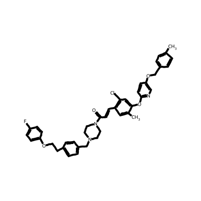 Cc1ccc(COc2ccc(Oc3cc(Cl)c(/C=C/C(=O)N4CCN(Cc5ccc(CCOc6ccc(F)cc6)cc5)CC4)cc3C)nc2)cc1